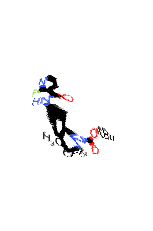 CC(C)(C)OC(=O)N1Cc2cc(NC(=O)c3cccnc3F)ccc2C(C)(C)C1